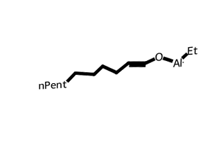 CCCCCCCCCC=C[O][Al][CH2]C